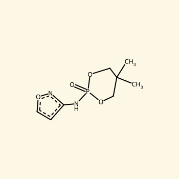 CC1(C)COP(=O)(Nc2ccon2)OC1